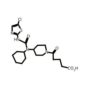 O=C(O)CCCC(=O)N1CCC(N(C(=O)Nc2ncc(Cl)s2)C2CCCCC2)CC1